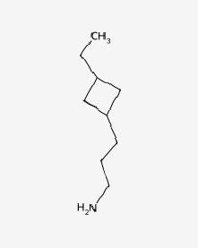 CCC1CC(CCCN)C1